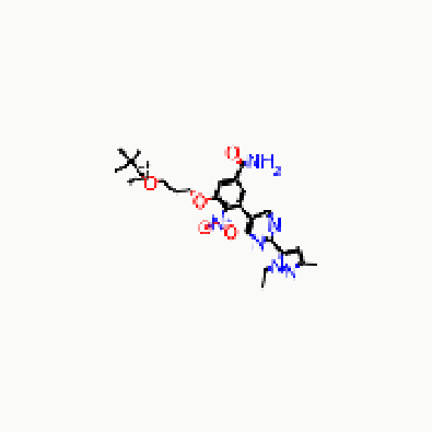 CCn1nc(C)cc1-c1ncc(-c2cc(C(N)=O)cc(OCCCO[Si](C)(C)C(C)(C)C)c2[N+](=O)[O-])cn1